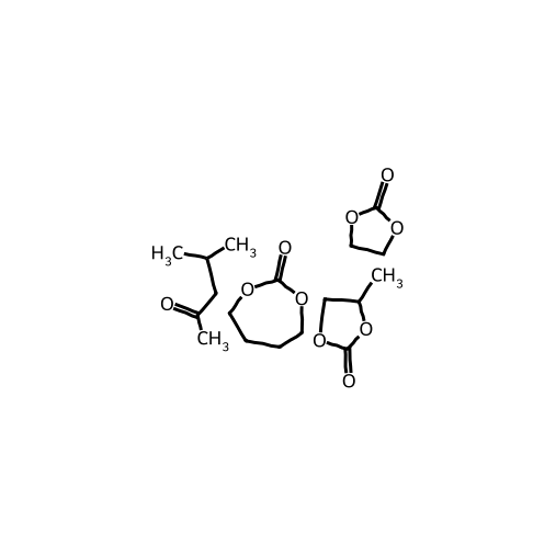 CC(=O)CC(C)C.CC1COC(=O)O1.O=C1OCCCCO1.O=C1OCCO1